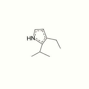 CCc1cc[nH]c1C(C)C